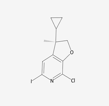 C[C@]1(C2CC2)COc2c1cc(I)nc2Cl